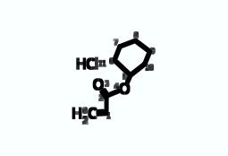 C=CC(=O)OC1CCCCC1.Cl